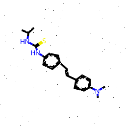 CC(C)NC(=S)Nc1ccc(C=Cc2ccc(N(C)C)cc2)cc1